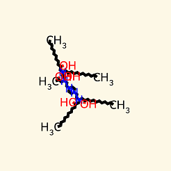 CCCCCCCCCCC(O)CN(CCN1CCN(CCN(CCN(CC(O)CCCCCCCCCC)CC(O)CCCCCCCCCC)CC(C)O)CC1)CC(O)CCCCCCCCCC